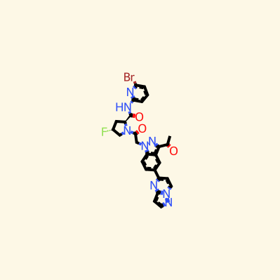 CC(=O)c1nn(CC(=O)N2C[C@H](F)C[C@H]2C(=O)Nc2cccc(Br)n2)c2ccc(-c3ccn4nccc4n3)cc12